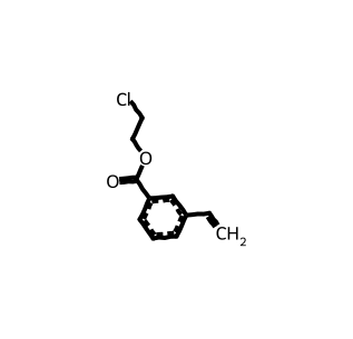 C=Cc1cccc(C(=O)OCCCl)c1